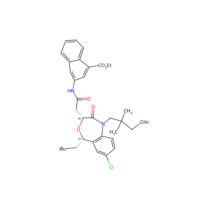 CCOC(=O)c1cc(NC(=O)C[C@H]2O[C@@H](CC(C)CC)c3cc(Cl)ccc3N(CC(C)(C)COC(C)=O)C2=O)cc2ccccc12